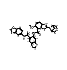 COc1ccc2nc(N3C4COCC3C4)sc2c1C(=O)Nc1cc2c(cc1C(=O)Nc1ccc3c(c1)OCO3)OCO2